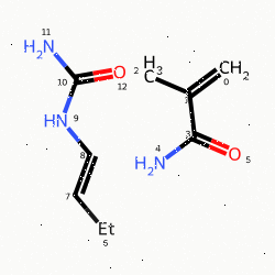 C=C(C)C(N)=O.CCC=CNC(N)=O